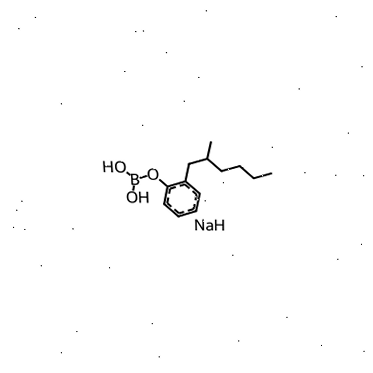 CCCCC(C)Cc1ccccc1OB(O)O.[NaH]